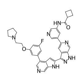 O=C(Nc1cncc(-c2cc3c(-c4cc5c(-c6cc(F)cc(OCCN7CCCC7)c6)cncc5[nH]4)n[nH]c3cn2)c1)C1CCC1